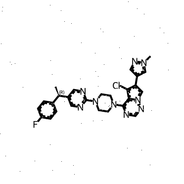 C[C@H](c1ccc(F)cc1)c1cnc(N2CCN(c3ncnn4cc(-c5cnn(C)c5)c(Cl)c34)CC2)nc1